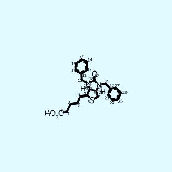 O=C(O)CCC/C=C1\SC[C@H]2[C@@H]1N(Cc1ccccc1)C(=O)N2Cc1ccccc1